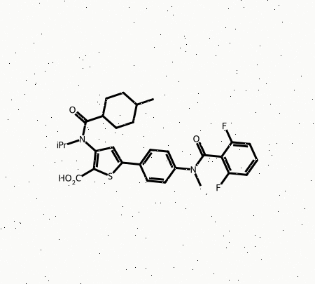 CC1CCC(C(=O)N(c2cc(-c3ccc(N(C)C(=O)c4c(F)cccc4F)cc3)sc2C(=O)O)C(C)C)CC1